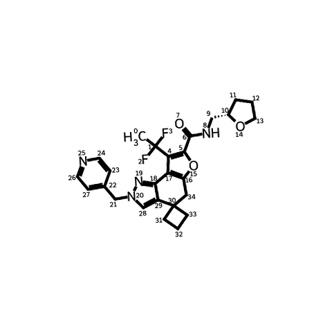 CC(F)(F)c1c(C(=O)NC[C@@H]2CCCO2)oc2c1-c1nn(Cc3ccncc3)cc1C1(CCC1)C2